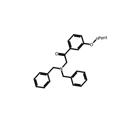 CCCCCOc1cccc(C(=O)CN(Cc2ccccc2)Cc2ccccc2)c1